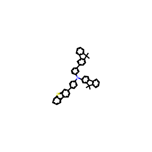 CC1(C)c2ccccc2-c2cc(-c3cccc(N(c4ccc(-c5ccc6c(c5)sc5ccccc56)cc4)c4ccc5c(c4)C(C)(C)c4ccccc4-5)c3)ccc21